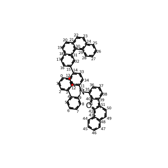 c1ccc(-c2ccccc2N(c2ccc(-c3ccc4ccc5ccc6ccccc6c5c4c3)cc2)c2cccc3c2oc2c4ccccc4ccc32)cc1